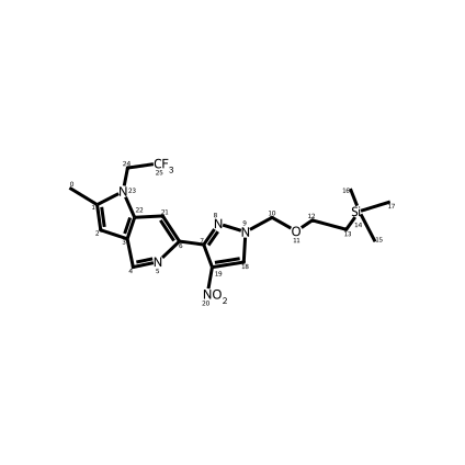 Cc1cc2cnc(-c3nn(COCC[Si](C)(C)C)cc3[N+](=O)[O-])cc2n1CC(F)(F)F